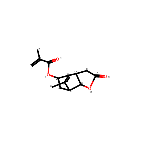 C=C(C)C(=O)OC1CC2C(C)=C1C1CC(=O)OC21